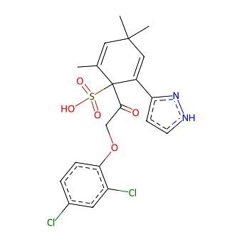 CC1=CC(C)(C)C=C(c2cc[nH]n2)C1(C(=O)COc1ccc(Cl)cc1Cl)S(=O)(=O)O